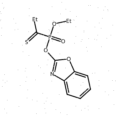 CCOP(=O)(Oc1nc2ccccc2o1)C(=S)CC